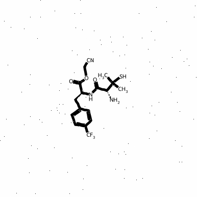 CC(C)(S)[C@H](N)C(=O)N[C@@H](Cc1ccc(C(F)(F)F)cc1)C(=O)OCC#N